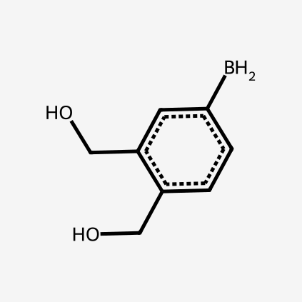 Bc1ccc(CO)c(CO)c1